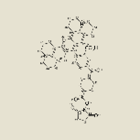 O=C(O)c1cc(C(=O)N2CCC(C(=O)ON3C(=O)CCC3=O)CC2)ccc1C1=c2cc3c4c(c2Oc2c1cc1c5c2CCCN5CCC1)CCC[N+]=4CCC3